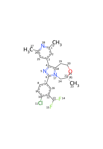 Cc1cc(-c2nc(-c3ccc(Cl)c(C(F)F)c3)n3c2CCO[C@H](C)C3)cc(C)n1